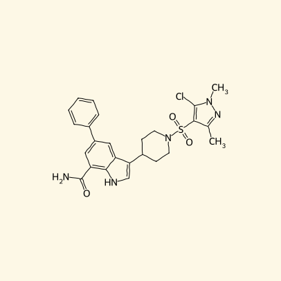 Cc1nn(C)c(Cl)c1S(=O)(=O)N1CCC(c2c[nH]c3c(C(N)=O)cc(-c4ccccc4)cc23)CC1